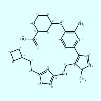 Cc1nc(-c2nnn(C)c2CNc2noc(CCC3CCC3)n2)ccc1OC1CCOC(C(=O)O)C1